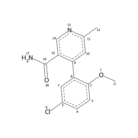 COc1ccc(Cl)cc1-c1cc(C)ncc1C(N)=O